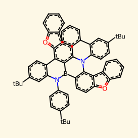 CC(C)(C)c1ccc(N2B3c4ccc5oc6ccccc6c5c4N(c4ccc(C(C)(C)C)cc4-c4ccccc4)c4cc5c(oc6ccccc65)c(c43)-c3ccc(C(C)(C)C)cc32)cc1